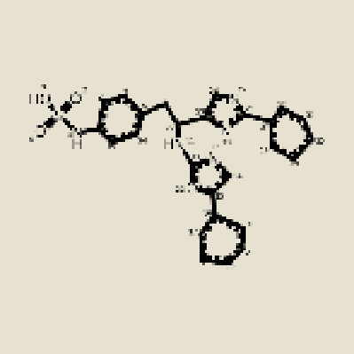 O=S(=O)(O)Nc1ccc(CC(Nc2ncc(-c3ccccc3)o2)c2csc(-c3ccccc3)n2)cc1